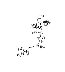 N=C(N)NCCC[C@H](N)c1noc([C@H](CCC(N)=O)NS(=O)(=O)NC(CO)C(=O)O)n1